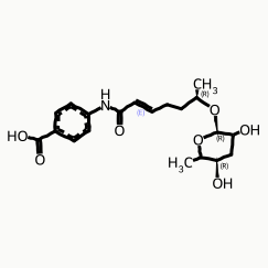 CC1O[C@@H](O[C@H](C)CC/C=C/C(=O)Nc2ccc(C(=O)O)cc2)C(O)C[C@H]1O